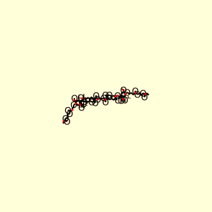 C=CC(=O)OCCOC(=O)CCCOc1cc([N+](=O)[O-])c(C(C)Oc2cc3oc(=O)c(C(=O)OCCOC(=O)c4cc5cc(Cl)c(OC(C)c6cc(OC)c(OCCCC(=O)OCCOC(=O)C=C)cc6[N+](=O)[O-])cc5oc4=O)cc3cc2Cl)cc1CO